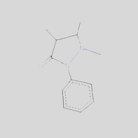 CC1C(=O)N(c2ccccc2)N(C)C1C